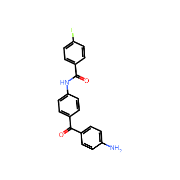 Nc1ccc(C(=O)c2ccc(NC(=O)c3ccc(F)cc3)cc2)cc1